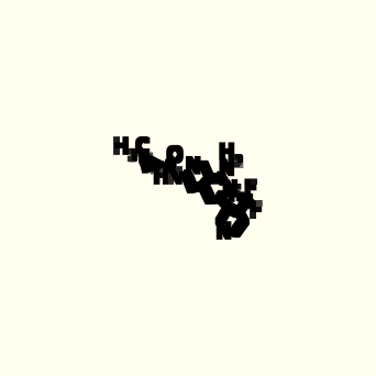 C[C@@H]1C[C@H]1C(=O)Nc1cc2cc(-c3cnccc3C(F)(F)F)nc(N)c2cn1